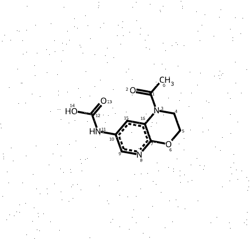 CC(=O)N1CCOc2ncc(NC(=O)O)cc21